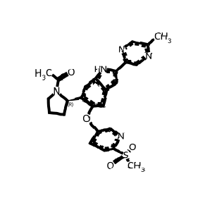 CC(=O)N1CCC[C@@H]1c1cc2[nH]c(-c3cnc(C)cn3)cc2cc1Oc1ccc(S(C)(=O)=O)nc1